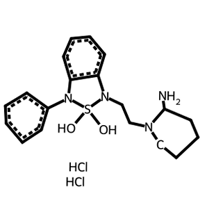 Cl.Cl.NC1CCCCN1CCN1c2ccccc2N(c2ccccc2)S1(O)O